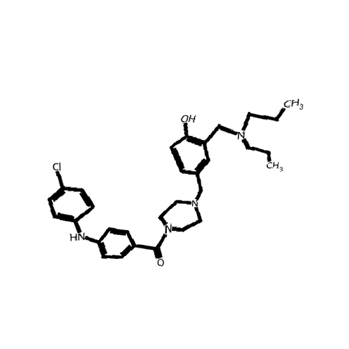 CCCN(CCC)Cc1cc(CN2CCN(C(=O)c3ccc(Nc4ccc(Cl)cc4)cc3)CC2)ccc1O